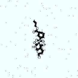 C=CCOC(=O)c1cccc(S(=O)(=O)n2c(=O)[nH]c3cc(Cl)ccc3c2=O)c1